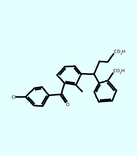 Cc1c(C(=O)c2ccc(Cl)cc2)cccc1C(CCC(=O)O)c1ccccc1C(=O)O